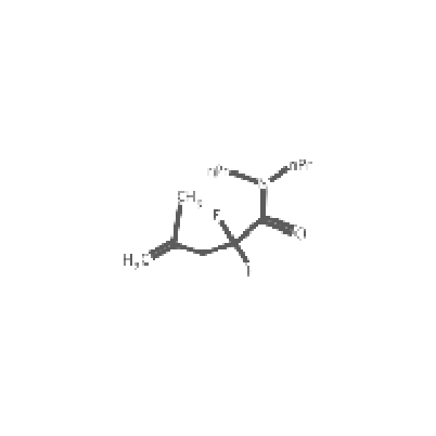 C=C(C)CC(F)(F)C(=O)N(CCC)CCC